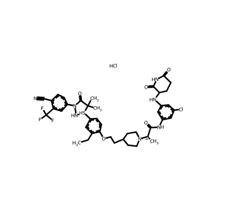 CCc1cc([SH]2NN(c3ccc(C#N)c(C(F)(F)F)c3)C(=O)C2(C)C)ccc1OCCC1CCN([C@H](C)C(=O)Nc2cc(Cl)cc(NC3CCC(=O)NC3=O)c2)CC1.Cl